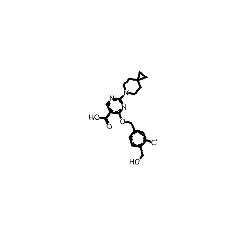 O=C(O)c1cnc(N2CCC3(CC2)CC3)nc1OCc1ccc(CO)c(Cl)c1